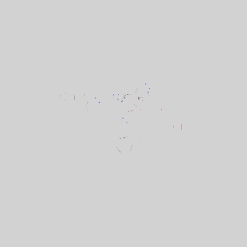 CC(C)(C)OC(=O)N1CC2CC(c3cnc(COCCO)s3)=C(C(=O)N(Cc3cccc(Cl)c3Cl)C3CC3)[C@@H](C1)N2C(=O)O